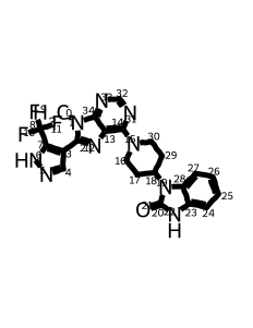 Cn1c(-c2cn[nH]c2C(F)(F)F)nc2c(N3CCC(n4c(=O)[nH]c5ccccc54)CC3)ncnc21